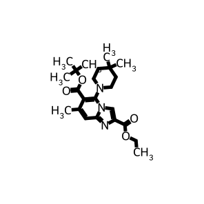 CCOC(=O)c1cn2c(N3CCC(C)(C)CC3)c(C(=O)OC(C)(C)C)c(C)cc2n1